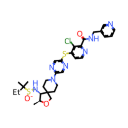 CCC(C)(C)[S+]([O-])N[C@@H]1[C@H](C)OCC12CCN(c1cnc(Sc3ccnc(C(=O)NCc4cccnc4)c3Cl)cn1)CC2